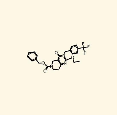 CCOc1nc2c(c(=O)n1Cc1ccc(C(F)(F)F)cc1)CN(C(=O)OCc1ccccc1)CC2